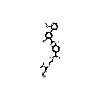 COc1ncccc1-c1ccc(O)c(-c2nc3cc(C(=O)NCCS/C(=N/N=N)N(C)C)ccc3[nH]2)c1